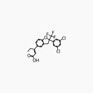 CCC(=CC(=O)O)c1ccc2c(c1)CC(c1cc(Cl)cc(Cl)c1)(C(F)(F)F)O2